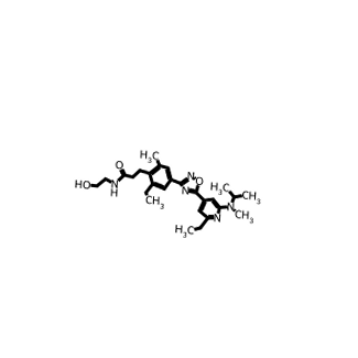 CCc1cc(-c2nc(-c3cc(C)c(CCC(=O)NCCO)c(CC)c3)no2)cc(N(C)C(C)C)n1